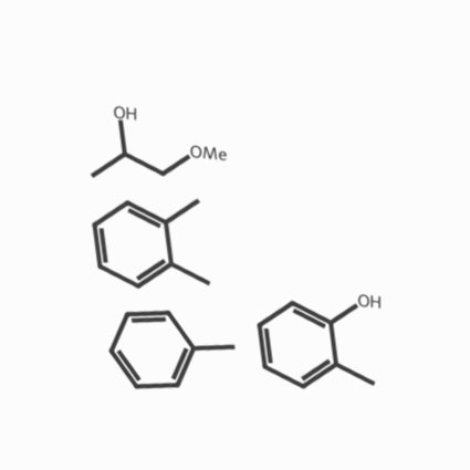 COCC(C)O.Cc1ccccc1.Cc1ccccc1C.Cc1ccccc1O